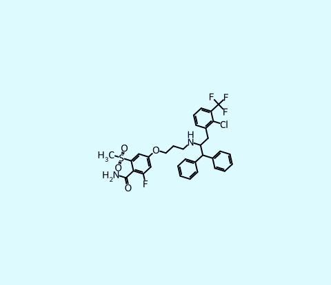 CS(=O)(=O)c1cc(OCCCNC(Cc2cccc(C(F)(F)F)c2Cl)C(c2ccccc2)c2ccccc2)cc(F)c1C(N)=O